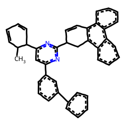 CC1C=CC=CC1c1cc(-c2cccc(-c3ccccc3)c2)nc(C2C=Cc3c(c4ccccc4c4ccccc34)C2)n1